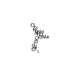 COC1=CC(OCc2ccc(C(F)(F)F)nc2)=CCC1c1nc(-c2ccc(Cl)cn2)[nH]c1Cl